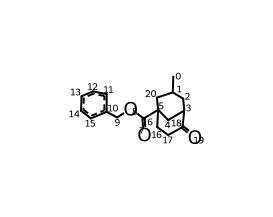 CC1CC2CC(C(=O)OCc3ccccc3)(CCC2=O)C1